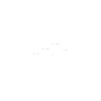 CC(CC(O)C[NH+](C)[O-])N(C)C